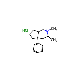 CC1CC2(c3ccccc3)CCCC2CN1C.Cl